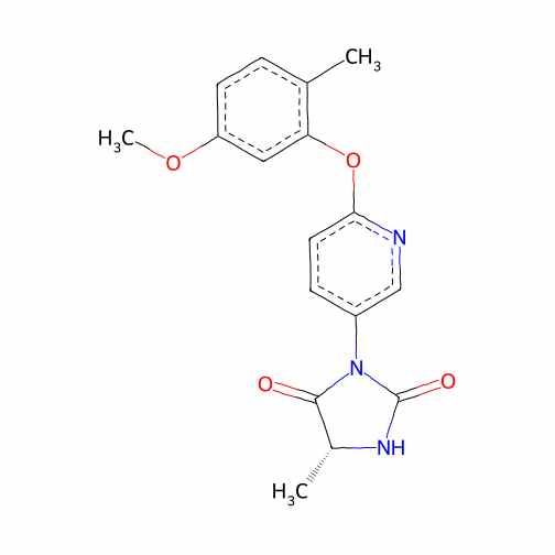 COc1ccc(C)c(Oc2ccc(N3C(=O)N[C@H](C)C3=O)cn2)c1